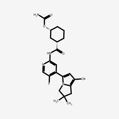 CC1(C)Cc2c(C#N)cc(-c3cc(NC(=O)[C@H]4CCC[C@@H](OC(N)=O)C4)ncc3F)n2C1